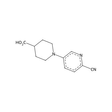 N#Cc1ccc(N2CCC(C(=O)O)CC2)cn1